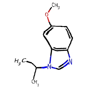 COc1ccc2ncn(C(C)C)c2c1